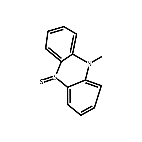 CN1c2ccccc2S(=S)c2ccccc21